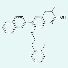 CC(Cc1ccc(OCCc2ccccc2F)c(-c2ccc3ccccc3c2)c1)C(=O)O